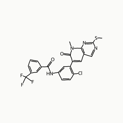 CSc1ncc2cc(-c3cc(NC(=O)c4cccc(C(F)(F)F)c4)ccc3Cl)c(=O)n(C)c2n1